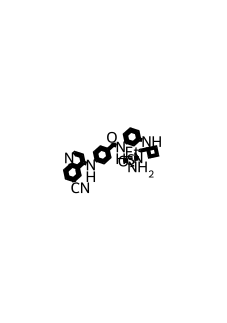 CCS(N)(=O)=NCC1(Nc2cccc(NC(=O)c3ccc(Nc4ccnc5ccc(C#N)cc45)cc3)c2)CCC1